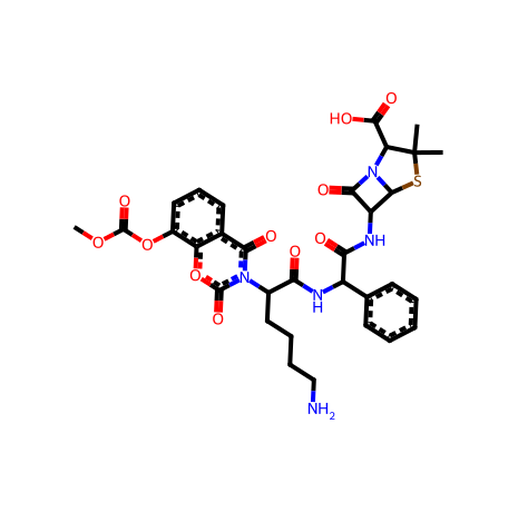 COC(=O)Oc1cccc2c(=O)n(C(CCCCN)C(=O)NC(C(=O)NC3C(=O)N4C3SC(C)(C)C4C(=O)O)c3ccccc3)c(=O)oc12